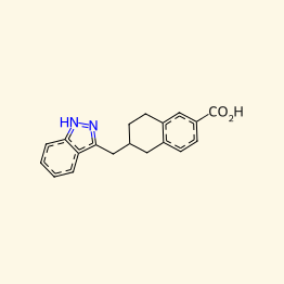 O=C(O)c1ccc2c(c1)CCC(Cc1n[nH]c3ccccc13)C2